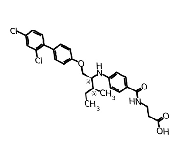 CC[C@H](C)[C@@H](COc1ccc(-c2ccc(Cl)cc2Cl)cc1)Nc1ccc(C(=O)NCCC(=O)O)cc1